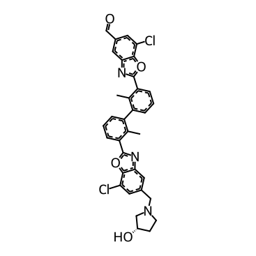 Cc1c(-c2nc3cc(C=O)cc(Cl)c3o2)cccc1-c1cccc(-c2nc3cc(CN4CC[C@H](O)C4)cc(Cl)c3o2)c1C